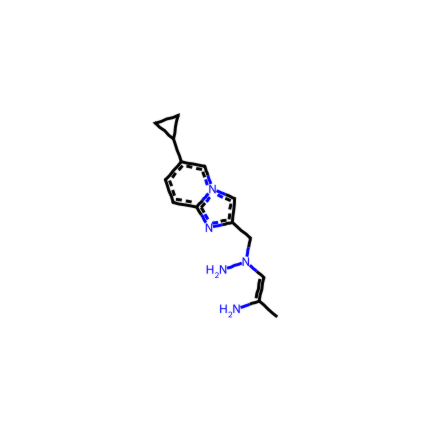 C/C(N)=C/N(N)Cc1cn2cc(C3CC3)ccc2n1